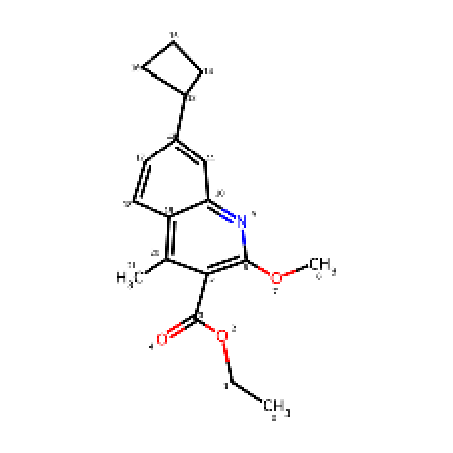 CCOC(=O)c1c(OC)nc2cc(C3CCC3)ccc2c1C